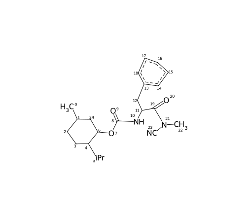 CC1CCC(C(C)C)C(OC(=O)NC(Cc2ccccc2)C(=O)N(C)C#N)C1